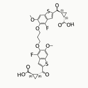 COc1cc2sc(C(=O)[C@H]3C[C@@H]3C(=O)O)cc2c(F)c1OCCCOc1c(OC)cc2sc(C(=O)[C@@H]3C[C@H]3C(=O)O)cc2c1F